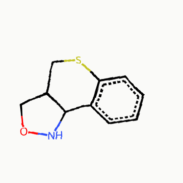 c1ccc2c(c1)SCC1CONC21